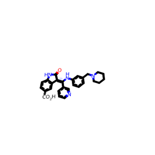 O=C1Nc2ccc(C(=O)O)cc2/C1=C(/Nc1cccc(CN2CCCCC2)c1)c1cccnc1